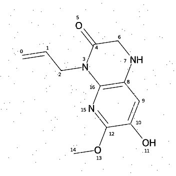 C=CCN1C(=O)CNc2cc(O)c(OC)nc21